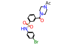 CC(=O)N1CCN(C(=O)c2cccc(S(=O)(=O)Nc3ccc(Br)cc3)c2)CC1